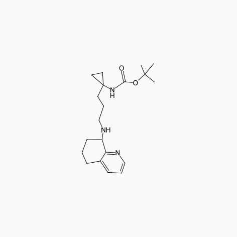 CC(C)(C)OC(=O)NC1(CCCNC2CCCc3cccnc32)CC1